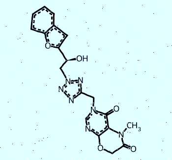 CN1C(=O)COc2ncn(Cc3nnn(C[C@H](O)c4cc5ccccc5o4)n3)c(=O)c21